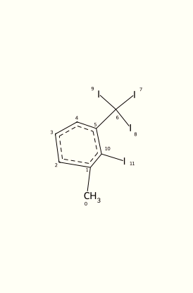 Cc1cccc(C(I)(I)I)c1I